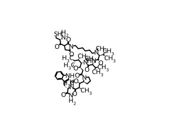 CC[C@H](C)[C@@H]([C@@H](CC(=O)N1CCC[C@H]1[C@H](OC)[C@@H](C)C(=O)N[C@@H](Cc1c[nH]c2ccccc12)C(N)=O)OC)N(C)C(=O)[C@@H](NC(=O)[C@H](C(C)C)N(C)CCCCCCN1C(=O)CC(C(=O)[C@@H](N)CS)C1=O)C(C)C